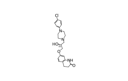 O=C1CCc2ccc(OC[C@@H](O)CN3CCN(c4ccc(Cl)cc4)CC3)cc2N1